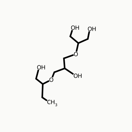 CCC(CO)OCC(O)COC(CO)CO